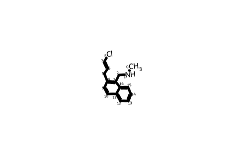 CNCc1c(CC=CCl)ccc2ccccc12